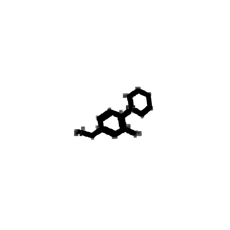 CC(C)Cc1ccc(N2CCCCC2)c(F)c1